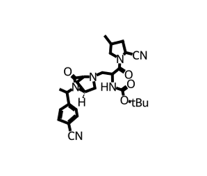 CC1CC(C#N)N(C(=O)C(CN2C[C@@H]3CC2C(=O)N3C(C)c2ccc(C#N)cc2)NC(=O)OC(C)(C)C)C1